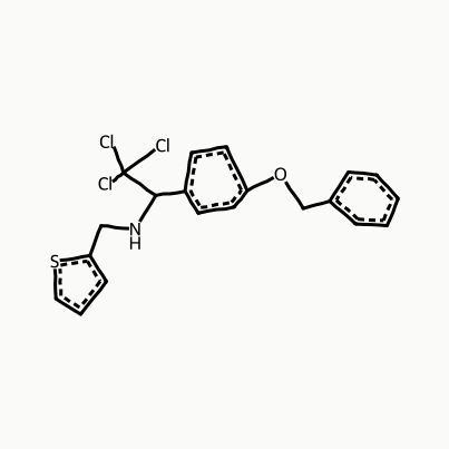 ClC(Cl)(Cl)C(NCc1cccs1)c1ccc(OCc2ccccc2)cc1